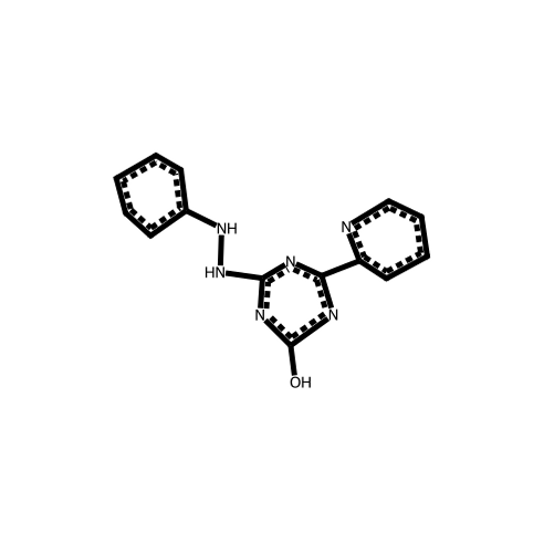 Oc1nc(NNc2ccccc2)nc(-c2ccccn2)n1